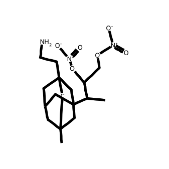 CC(C(CO[N+](=O)[O-])O[N+](=O)[O-])C12CC3CC(C)(CC(CCN)(C3)C1)C2